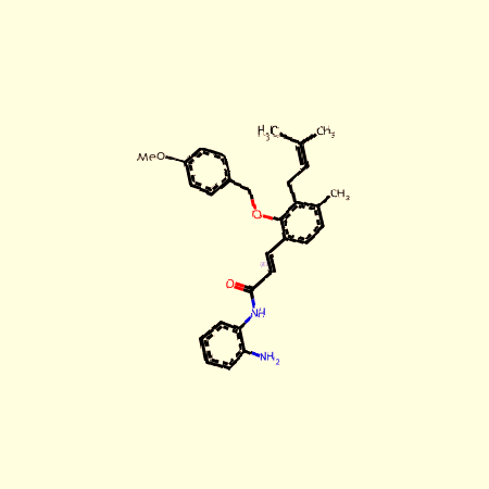 COc1ccc(COc2c(/C=C/C(=O)Nc3ccccc3N)ccc(C)c2CC=C(C)C)cc1